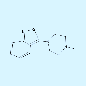 CN1CCN(c2snc3ccccc23)CC1